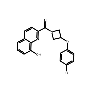 O=C(c1ccc2cccc(O)c2n1)N1CC(Oc2ccc(Cl)cc2)C1